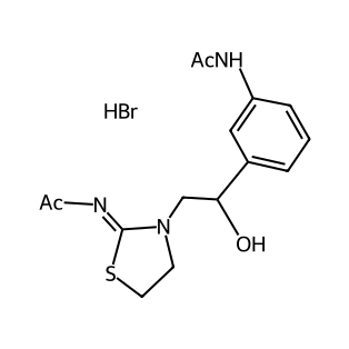 Br.CC(=O)N=C1SCCN1CC(O)c1cccc(NC(C)=O)c1